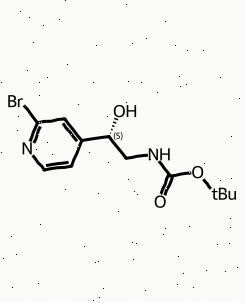 CC(C)(C)OC(=O)NC[C@@H](O)c1ccnc(Br)c1